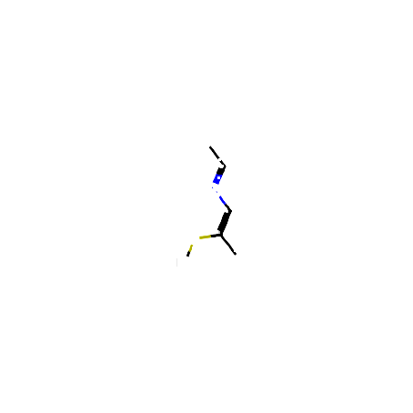 C/C=N/C=C(/C)SCC